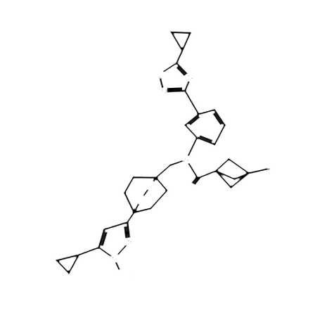 Cn1nc(C23CCC(CN(C(=O)C45CC(F)(C4)C5)c4cccc(-c5noc(C6CC6)n5)c4)(CC2)CC3)cc1C1CC1